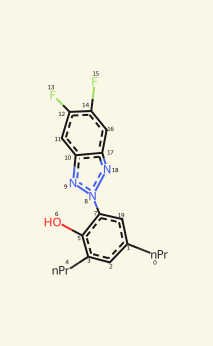 CCCc1cc(CCC)c(O)c(-n2nc3cc(F)c(F)cc3n2)c1